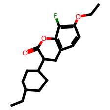 CCOc1ccc2c(c1F)OC(=O)C(C1CCC(CC)CC1)C2